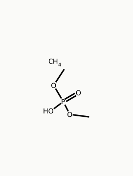 C.COP(=O)(O)OC